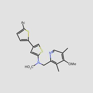 COc1c(C)cnc(CN(C(=O)O)c2cc(-c3ccc(C(C)=O)s3)cs2)c1C